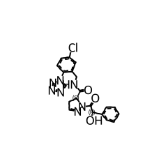 O=C(NCc1cc(Cl)ccc1-n1cnnn1)[C@@H]1CC=NN1C(=O)[C@H](O)c1ccccc1